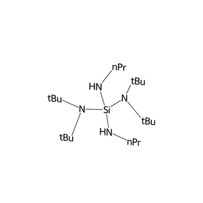 CCCN[Si](NCCC)(N(C(C)(C)C)C(C)(C)C)N(C(C)(C)C)C(C)(C)C